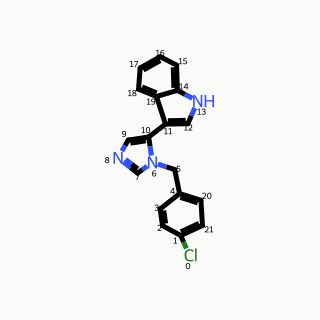 Clc1ccc(Cn2cncc2-c2c[nH]c3ccccc23)cc1